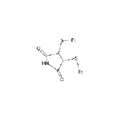 CCSC1C(=O)NC(=O)C1SCC